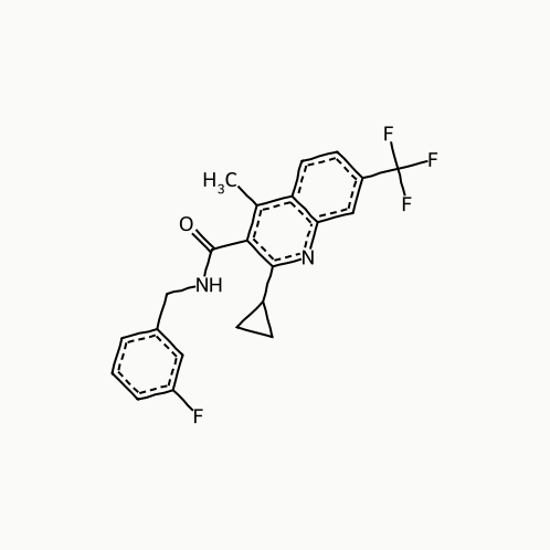 Cc1c(C(=O)NCc2cccc(F)c2)c(C2CC2)nc2cc(C(F)(F)F)ccc12